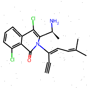 C#C/C(=C\C=C(C)C)n1c([C@H](C)N)c(Cl)c2cccc(Cl)c2c1=O